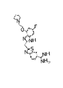 N=C(N)c1ccc2nc(Cc3nc4c(OCCN5CCCC5)cc(F)cc4[nH]3)sc2c1